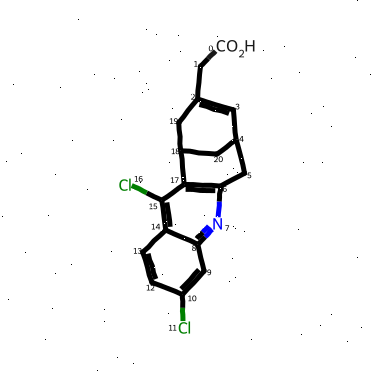 O=C(O)CC1=CC2Cc3nc4cc(Cl)ccc4c(Cl)c3C(C1)C2